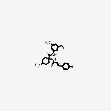 CC1CCC(NC(=O)/C=C/c2ccc(F)cc2)(C(=O)Nc2cc(CF)cc(C(F)(F)F)c2)CC1